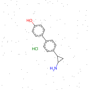 Cl.NC1CC1c1ccc(-c2ccc(O)cc2)cc1